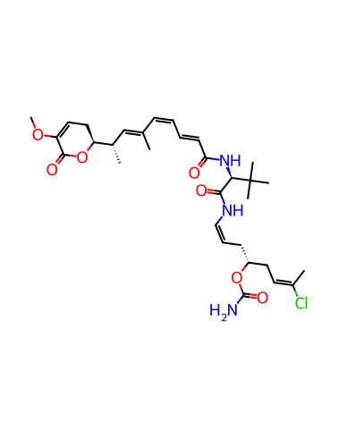 COC1=CC[C@@H]([C@@H](C)/C=C(C)/C=C\C=C\C(=O)N[C@H](C(=O)N/C=C\C[C@H](C/C=C(\C)Cl)OC(N)=O)C(C)(C)C)OC1=O